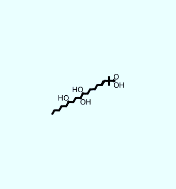 CCCCCC(O)CCC(O)C(O)CCCCC=CC(C)(C)C(=O)O